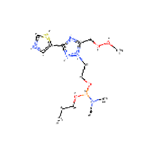 CCCOOCc1nc(-c2cncs2)nn1CCOP(OCCC#N)N(C(C)C)C(C)C